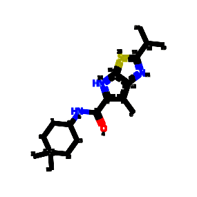 Cc1c(C(=O)NC2CC[Si](C)(C)CC2)[nH]c2sc(C(C)C)nc12